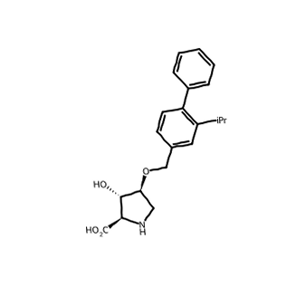 CC(C)c1cc(CO[C@H]2CN[C@@H](C(=O)O)[C@@H]2O)ccc1-c1ccccc1